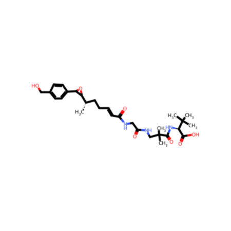 C[C@@H](CC/C=C/C(=O)NCC(=O)NCC(C)(C)C(=O)N[C@H](C(=O)O)C(C)(C)C)C1OC1c1ccc(CO)cc1